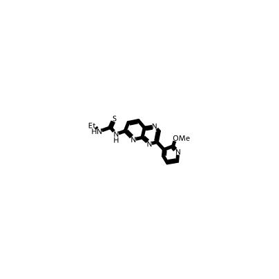 CCNC(=S)Nc1ccc2ncc(-c3cccnc3OC)nc2n1